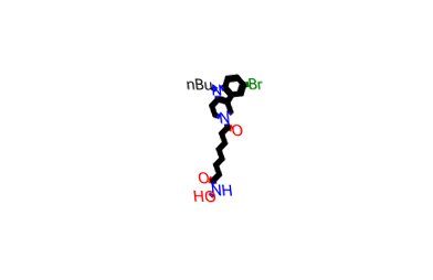 CCCCn1c2c(c3cc(Br)ccc31)CN(C(=O)CCCCCCC(=O)NO)CC2